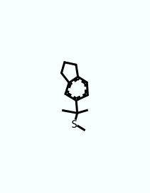 CSC(C)(C)c1ccc2c(c1)CCC2